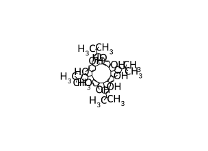 CC(C)C1=CC=C(C2c3cc(c(O)cc3O)C(c3ccc(C(C)C)cc3)c3cc(c(O)cc3O)C(c3ccc(C(C)C)cc3)c3cc(c(O)cc3O)C(c3ccc(C(C)C)cc3)c3cc2c(O)cc3O)CC1